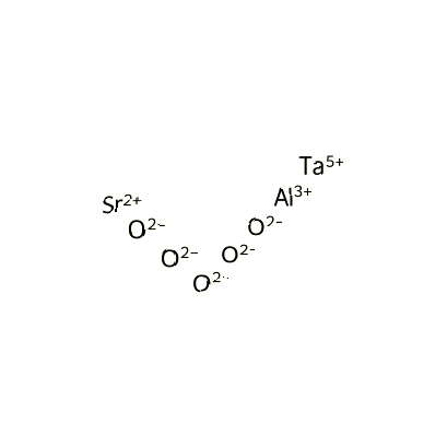 [Al+3].[O-2].[O-2].[O-2].[O-2].[O-2].[Sr+2].[Ta+5]